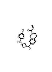 C=CC(=O)N1CCc2ccc(C(=O)N3CC[C@@H](Nc4ncc(Cl)cn4)C3)cc2C1